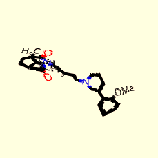 COc1ccccc1C1CCCN(CCCCN2C(=O)C3CCC(C)(C2=O)C3(C)C)C1